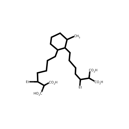 CCC(CCCCC1CCCC(C)C1CCCCC(CC)C(C(=O)O)C(=O)O)C(C(=O)O)C(=O)O